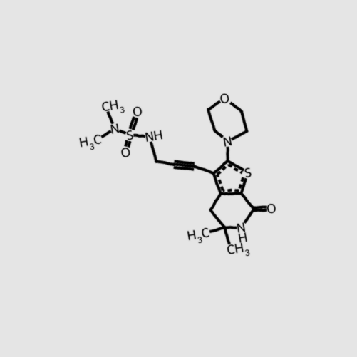 CN(C)S(=O)(=O)NCC#Cc1c(N2CCOCC2)sc2c1CC(C)(C)NC2=O